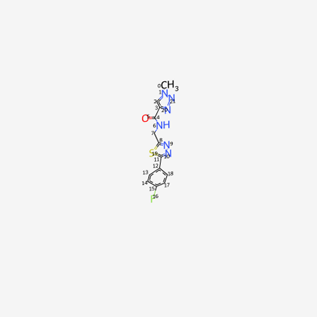 Cn1cc(C(=O)NCc2nnc(-c3ccc(F)cc3)s2)nn1